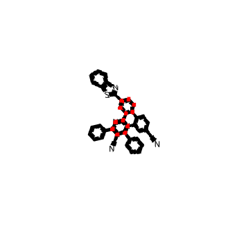 N#Cc1ccc(-c2cccc(-c3nc4ccccc4s3)c2)c(-c2cc(C#N)ccc2-c2ccccc2-c2nc(-c3ccccc3)nc(-c3ccccc3)n2)c1